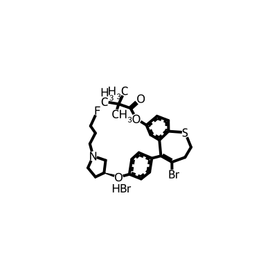 Br.CC(C)(C)C(=O)Oc1ccc2c(c1)C(c1ccc(O[C@H]3CCN(CCCF)C3)cc1)=C(Br)CCS2